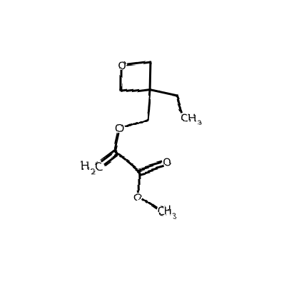 C=C(OCC1(CC)COC1)C(=O)OC